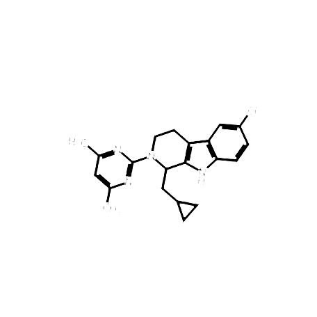 Cc1cc(C)nc(N2CCc3c([nH]c4ccc(Cl)cc34)C2CC2CC2)n1